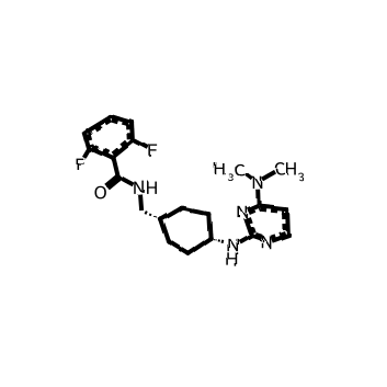 CN(C)c1ccnc(N[C@H]2CC[C@@H](CNC(=O)c3c(F)cccc3F)CC2)n1